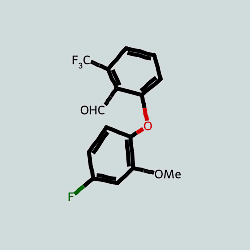 COc1cc(F)ccc1Oc1cccc(C(F)(F)F)c1C=O